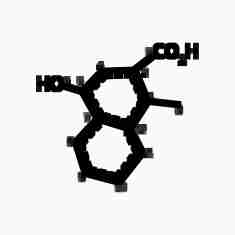 Cc1c(C(=O)O)cc(O)c2ccccc12